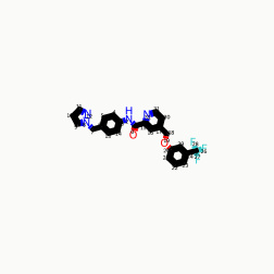 O=C(Nc1ccc(Cn2cccn2)cc1)c1cc(COc2cccc(C(F)(F)F)c2)ccn1